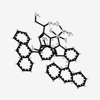 CCC(C)C1=Cc2c(-c3c4ccccc4cc4ccccc34)cccc2[CH]1[Zr]([Cl])([Cl])([CH]1C(C(C)CC)=Cc2c(-c3c4ccccc4cc4ccccc34)cccc21)[SiH](C)C